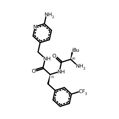 CCC(C)[C@@H](N)C(=O)N[C@@H](Cc1cccc(C(F)(F)F)c1)C(=O)NCc1ccc(N)nc1